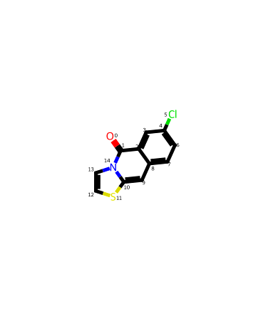 O=c1c2cc(Cl)ccc2cc2sccn12